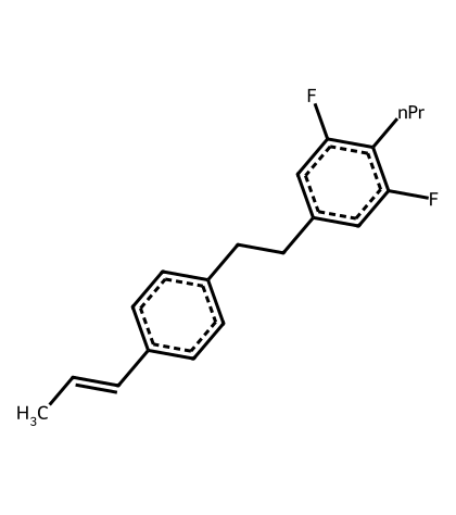 CC=Cc1ccc(CCc2cc(F)c(CCC)c(F)c2)cc1